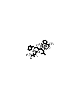 CC(C)CC(C[C@@H](O)[C@H](Cc1ccccc1)NC(=O)[C@H](C)C(C)(C)C(N)=O)NS(=O)(=O)NC1(C(=O)O)CCCC1